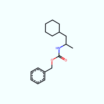 CC(CC1CCCCC1)NC(=O)OCc1ccccc1